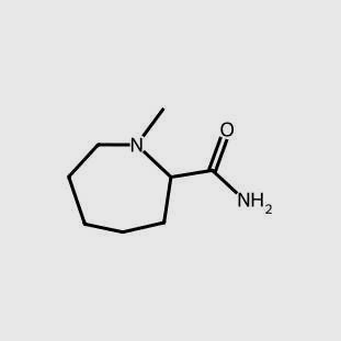 CN1CCCCCC1C(N)=O